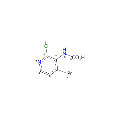 CC(C)c1ccnc(Cl)c1NC(=O)O